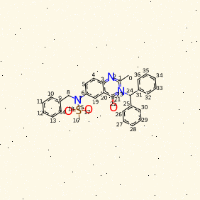 Cc1nc2ccc(N(Cc3ccccc3)S(C)(=O)=O)cc2c(=O)n1C(c1ccccc1)c1ccccc1